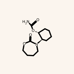 NC(=O)O[C@@H]1CCCC[C@H]1N1CCCCOC1=O